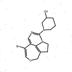 OC1CCCN(C2=NC=C3C(Br)=COCC4=C3N2CC4)C1